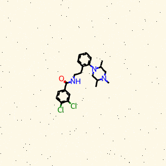 CC1CN(c2ccccc2CCNC(=O)c2ccc(Cl)c(Cl)c2)C(C)CN1C